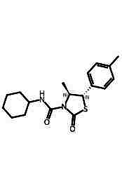 Cc1ccc([C@@H]2SC(=O)N(C(=O)NC3CCCCC3)[C@H]2C)cc1